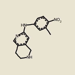 Cc1cc(Nc2cc3c(cn2)CCNC3)ccc1[N+](=O)[O-]